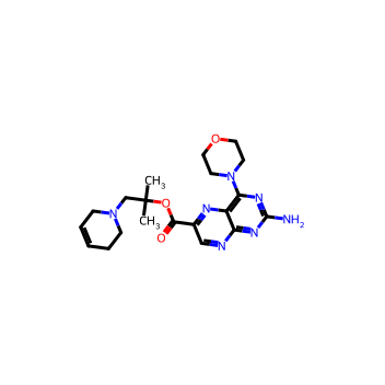 CC(C)(CN1CC=CCC1)OC(=O)c1cnc2nc(N)nc(N3CCOCC3)c2n1